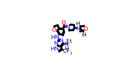 CCNc1nc(Nc2ccc(C(=O)N3CCC(N4C[C@@H]5C[C@H]4CO5)CC3)c3c2OCC3)nc2[nH]cc(C(F)(F)F)c12